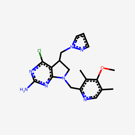 COc1c(C)cnc(CN2CC(Cn3cccn3)c3c(Cl)nc(N)nc32)c1C